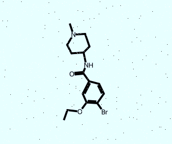 CCOc1cc(C(=O)NC2CCN(C)CC2)ccc1Br